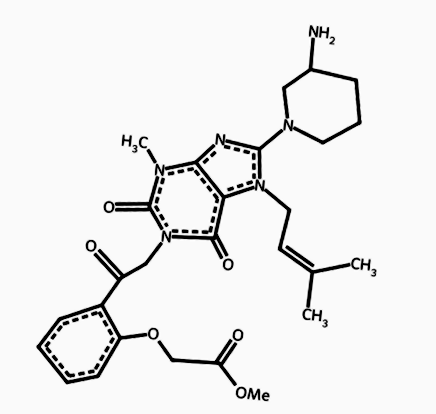 COC(=O)COc1ccccc1C(=O)Cn1c(=O)c2c(nc(N3CCCC(N)C3)n2CC=C(C)C)n(C)c1=O